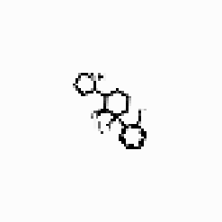 NC1(c2ccccc2Cl)CCCC(C2CCCN2)C1=O